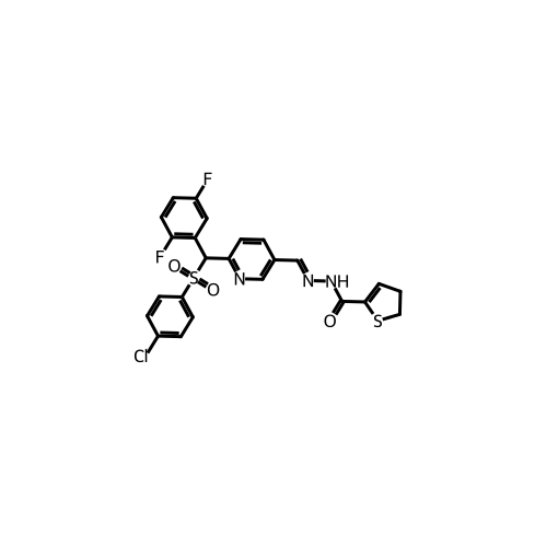 O=C(N/N=C/c1ccc(C(c2cc(F)ccc2F)S(=O)(=O)c2ccc(Cl)cc2)nc1)C1=CCCS1